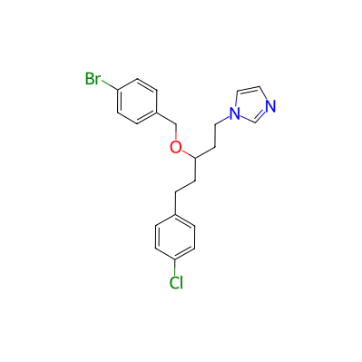 Clc1ccc(CCC(CCn2ccnc2)OCc2ccc(Br)cc2)cc1